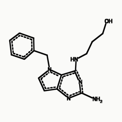 Nc1nc(NCCCO)c2c(ccn2Cc2ccccc2)n1